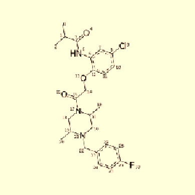 CC(C)C(=O)Nc1cc(Cl)ccc1OCC(=O)N1CC(C)N(Cc2ccc(F)cc2)CC1C